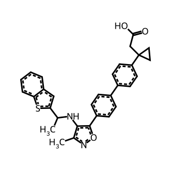 Cc1noc(-c2ccc(-c3ccc(C4(CC(=O)O)CC4)cc3)cc2)c1NC(C)c1cc2ccccc2s1